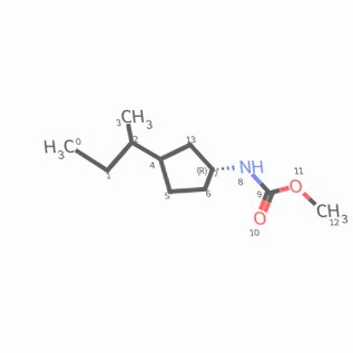 CCC(C)C1CC[C@@H](NC(=O)OC)C1